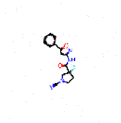 N#CN1CCC(F)(C(=O)Nc2cc(-c3ccccc3)on2)C1